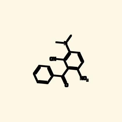 CN(C)c1ccc([N+](=O)[O-])c(C(=O)c2ccccc2)c1N=O